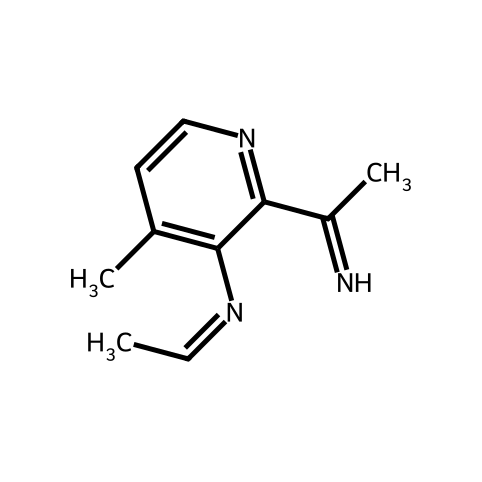 C/C=N\c1c(C)ccnc1C(C)=N